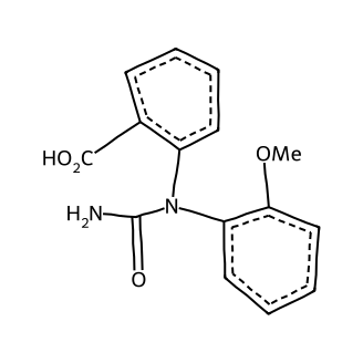 COc1ccccc1N(C(N)=O)c1ccccc1C(=O)O